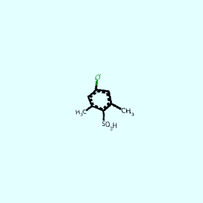 Cc1cc(Cl)cc(C)c1S(=O)(=O)O